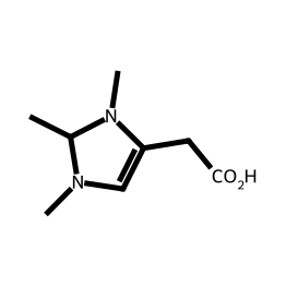 CC1N(C)C=C(CC(=O)O)N1C